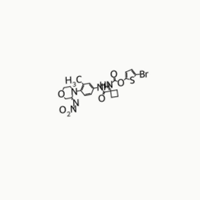 Cc1cc(NC(=O)C2(NC(=O)Oc3ccc(Br)s3)CCC2)ccc1N1CCOCC1=N[N+](=O)[O-]